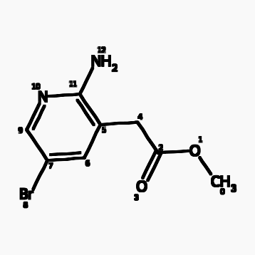 COC(=O)Cc1cc(Br)cnc1N